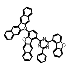 c1ccc(-c2nc(-c3cccc4oc5ccccc5c34)nc(-c3ccc(-n4c5cc6ccccc6cc5c5cc6ccccc6cc54)c4oc5cc6ccccc6cc5c34)n2)cc1